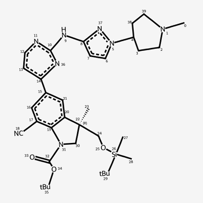 CN1CCC(n2ccc(Nc3nccc(-c4cc(C#N)c5c(c4)[C@@](C)(CO[Si](C)(C)C(C)(C)C)CN5C(=O)OC(C)(C)C)n3)n2)CC1